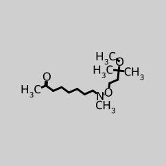 COC(C)(C)CCON(C)CCCCCCC(C)=O